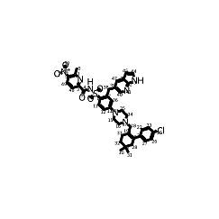 Cc1nc(C(=O)NS(=O)(=O)c2ccc(N3CCN(CC4=C(c5ccc(Cl)cc5)CC(C)(C)CC4)CC3)cc2Cc2cnc3[nH]ccc3c2)ccc1[N+](=O)[O-]